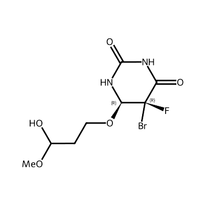 COC(O)CCO[C@H]1NC(=O)NC(=O)[C@]1(F)Br